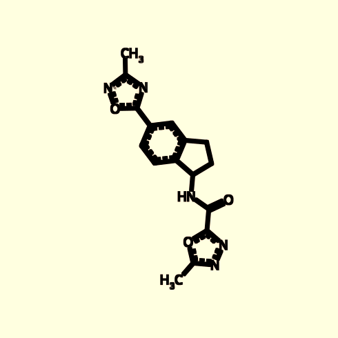 Cc1noc(-c2ccc3c(c2)CCC3NC(=O)c2nnc(C)o2)n1